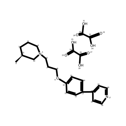 C[C@H]1CCCN(CCCOc2ccc(-c3ccncc3)cc2)C1.O=C(O)C(=O)O.O=C(O)C(=O)O